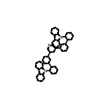 c1cc(-c2cncc(-c3cccc(-c4ccccc4-n4c5ccccc5c5ccccc54)c3)c2)cc(-c2ccccc2-n2c3ccccc3c3ccccc32)c1